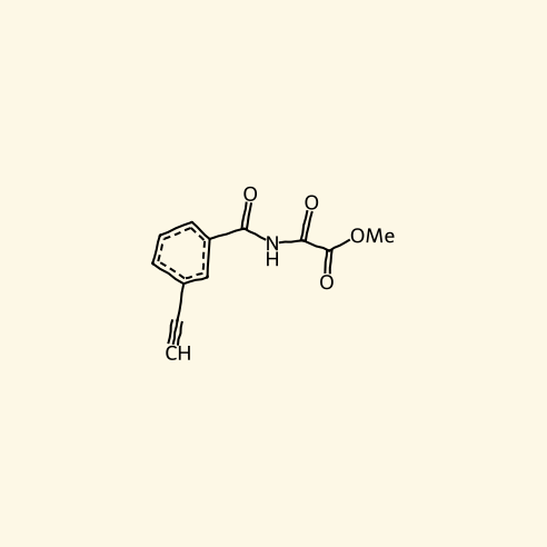 C#Cc1cccc(C(=O)NC(=O)C(=O)OC)c1